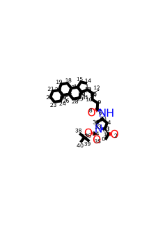 CC(=O)[C@@H]1C[C@H](NC(=O)CC[C@@H](C)[C@H]2CCC3C4CCC5CCCC[C@]5(C)C4CC[C@@]32C)CN1C(=O)OC(C)(C)C